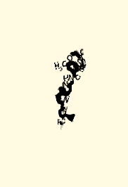 Cc1cc(C(=O)NCc2cc3nc(-c4ccc(OC(F)F)c(C5CC5)n4)ccc3cn2)cc2c1OCC[C@H](F)S2(=O)=O